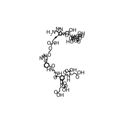 [N-]=[N+]=NC(COc1cccc(C(=O)NCCNC(=O)c2cc(C(=O)NC(CCC(=O)O)C(=O)O)cc(C(=O)N[C@@H](CCC(=O)O)C(=O)O)c2)c1)OCCOCC(=O)NCC#Cc1cn([C@H]2C[C@H](O)[C@@H](COP(=O)(O)OP(=O)(O)OP(=O)(O)O)O2)c2ncnc(N)c12